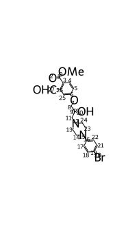 COC(=O)c1ccc(OC[C@H](O)CN2CCN(c3ccc(Br)cc3)CC2)cc1C=O